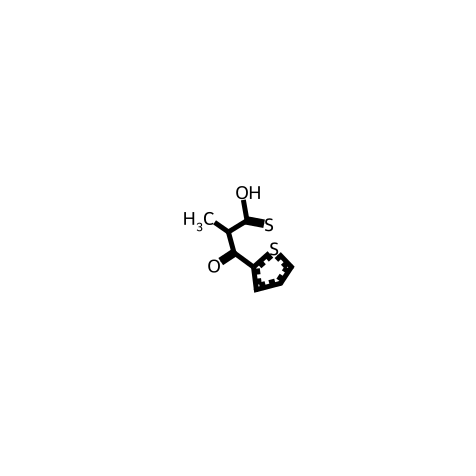 CC(C(=O)c1cccs1)C(O)=S